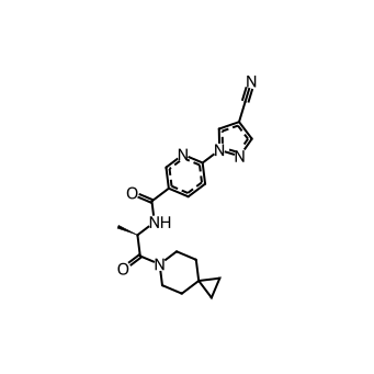 C[C@@H](NC(=O)c1ccc(-n2cc(C#N)cn2)nc1)C(=O)N1CCC2(CC1)CC2